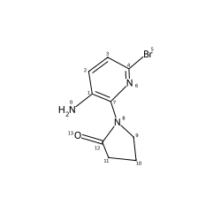 Nc1ccc(Br)nc1N1CCCC1=O